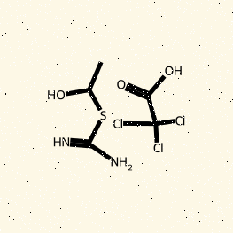 CC(O)SC(=N)N.O=C(O)C(Cl)(Cl)Cl